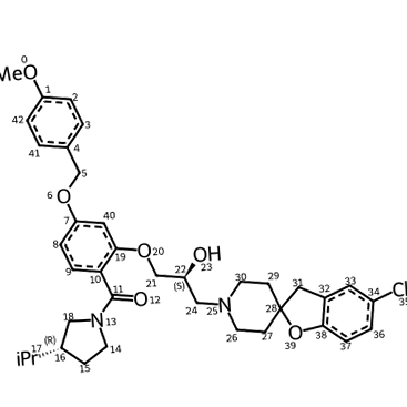 COc1ccc(COc2ccc(C(=O)N3CC[C@H](C(C)C)C3)c(OC[C@@H](O)CN3CCC4(CC3)Cc3cc(Cl)ccc3O4)c2)cc1